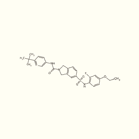 CCOc1ccc(NS(=O)(=O)c2ccc3c(c2)CN(C(=O)Nc2ccc(C(C)(C)C)cc2)C3)c(F)c1